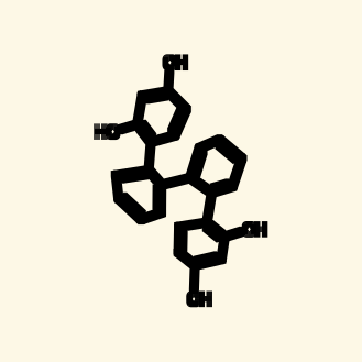 Oc1ccc(-c2ccccc2-c2ccccc2-c2ccc(O)cc2O)c(O)c1